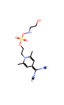 [C-]#[N+]C([N+]#[C-])=C1C=C(C)N(CCOS(=O)(=O)ONCCO)C(C)=C1